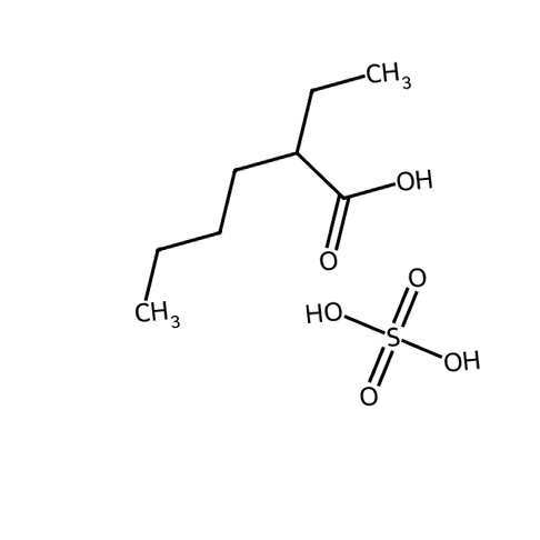 CCCCC(CC)C(=O)O.O=S(=O)(O)O